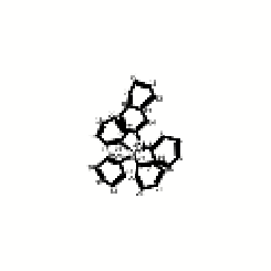 c1ccc(N(c2ccc3ccccc3c2)[N+](c2ccccc2)(c2ccccc2)c2ccccc2)cc1